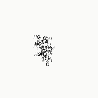 C[C@]12C=CC(=O)C=C1C[C@@H](Cl)[C@@H]1[C@@H]2[C@@H](O)C[C@@]2(C)[C@H]1C[C@@H](O)[C@]2(O)C(=O)CO